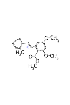 COC(=O)c1c(/C=C/c2ccccc2C)cc(OC)cc1OC